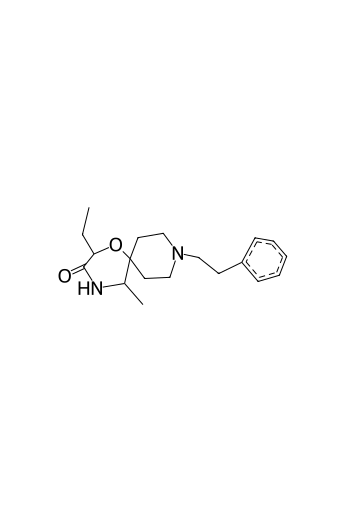 CCC1OC2(CCN(CCc3ccccc3)CC2)C(C)NC1=O